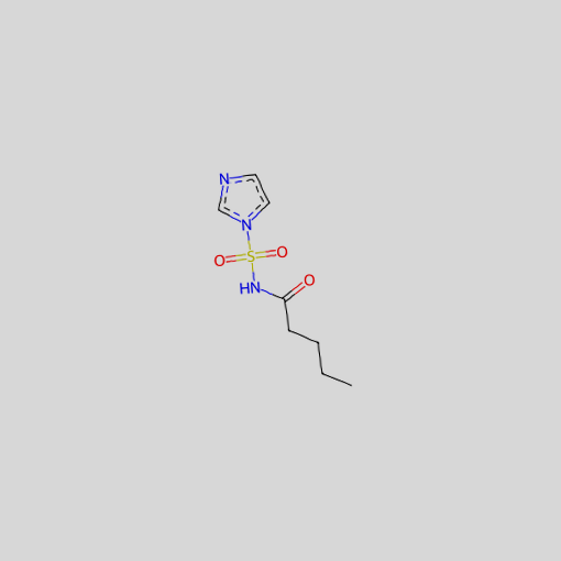 CCCCC(=O)NS(=O)(=O)n1ccnc1